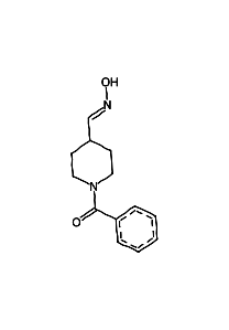 O=C(c1ccccc1)N1CCC(C=NO)CC1